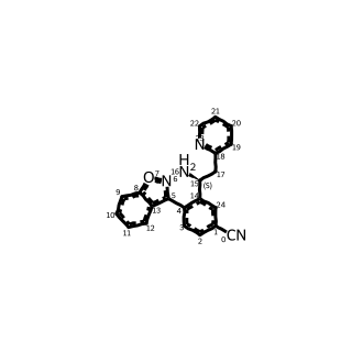 N#Cc1ccc(-c2noc3ccccc23)c([C@@H](N)Cc2ccccn2)c1